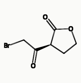 O=C(CBr)[C@@H]1CCOC1=O